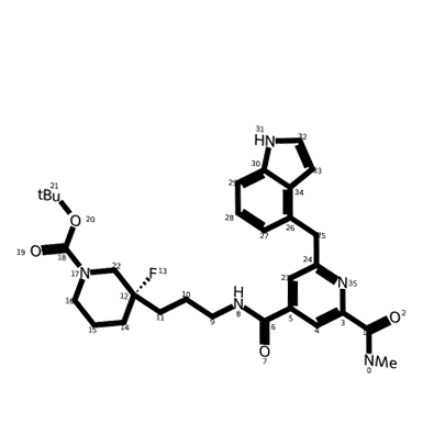 CNC(=O)c1cc(C(=O)NCCC[C@@]2(F)CCCN(C(=O)OC(C)(C)C)C2)cc(Cc2cccc3[nH]ccc23)n1